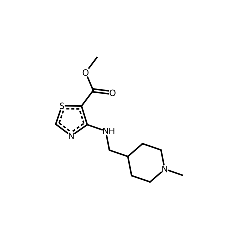 COC(=O)c1scnc1NCC1CCN(C)CC1